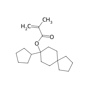 C=C(C)C(=O)OC1(C2CCCC2)CCC2(CCCC2)CC1